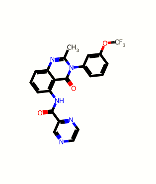 Cc1nc2cccc(NC(=O)c3cnccn3)c2c(=O)n1-c1cccc(OC(F)(F)F)c1